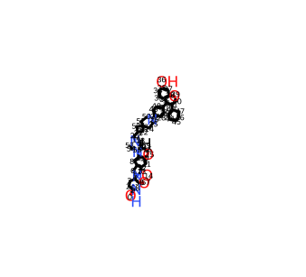 O=C1CCC(N2Cc3cc4c(cc3C2=O)OC[C@@H]2CN(CC3CC5(CCN(c6ccc(C7c8ccc(O)cc8OCC7c7ccccc7)cc6)CC5)C3)CCN42)C(=O)N1